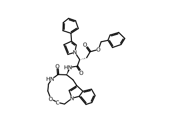 O=C(C[C@H](C(=O)N[C@H]1Cc2cn(c3ccccc23)CCOCCNC1=O)n1ccc(-c2ccccc2)c1)OCc1ccccc1